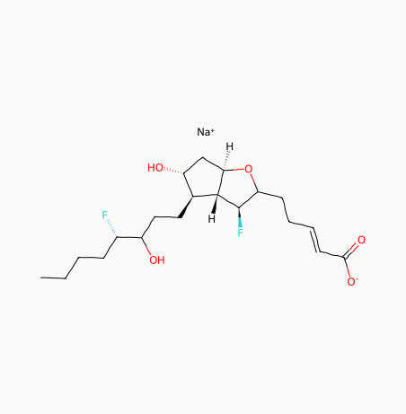 CCCC[C@H](F)C(O)CC[C@@H]1[C@H]2[C@H](F)C(CCC=CC(=O)[O-])O[C@@H]2C[C@H]1O.[Na+]